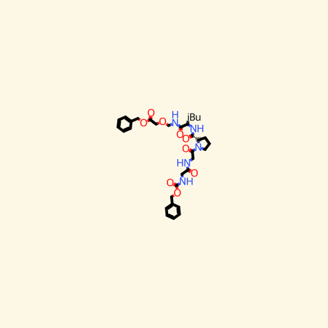 CCC(C)C(NC(=O)[C@@H]1CCCN1C(=O)CNC(=O)CNC(=O)OCc1ccccc1)C(=O)NCOCC(=O)OCc1ccccc1